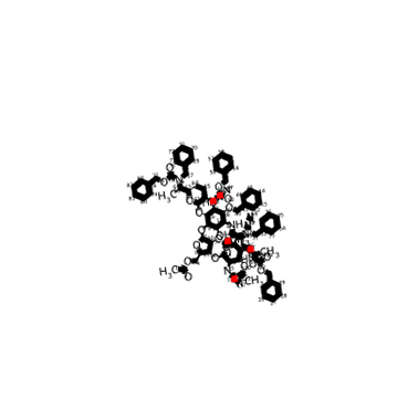 CC(=O)OC[C@H]1O[C@@H](O[C@@H]2[C@@H](O)[C@H](NC(=O)[C@H](CCNC(=O)OCc3ccccc3)OCc3ccccc3)[C@@H](OCc3ccccc3)[C@H](NC(=O)OCc3ccccc3)[C@H]2O[C@H]2O[C@H]([C@H](C)N(Cc3ccccc3)C(=O)OCc3ccccc3)CC[C@H]2N=[N+]=[N-])[C@H](OC(C)=O)[C@@H]1O[C@H]1O[C@@H](CN=[N+]=[N-])[C@@H](OC(C)=O)[C@H](OC(C)=O)[C@H]1N=[N+]=[N-]